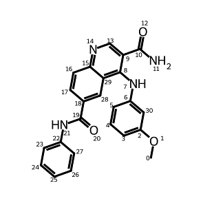 COc1cccc(Nc2c(C(N)=O)cnc3ccc(C(=O)Nc4ccccc4)cc23)c1